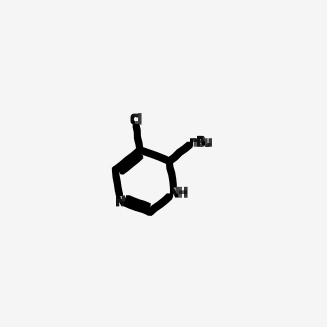 CCCCC1NC=NC=C1Cl